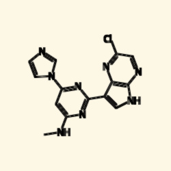 CNc1cc(-n2ccnc2)nc(-c2c[nH]c3ncc(Cl)nc23)n1